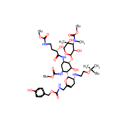 CN(C(=O)OC(C)(C)C)[C@@H]1[C@@H](O)[C@@H](O[C@H]2[C@H](NC(=O)[C@@H](O)CCNC(=O)OC(C)(C)C)C[C@H](NC(=O)OC(C)(C)C)C([C@H]3OC(CNC(=O)OCc4ccc(O)cc4)=CC[C@H]3NCCO[Si](C)(C)C(C)(C)C)[C@@H]2O)OC[C@]1(C)O